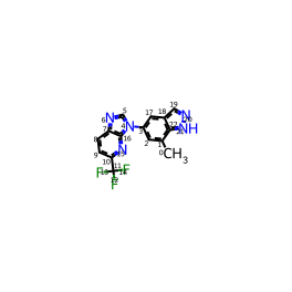 Cc1cc(-n2cnc3ccc(C(F)(F)F)nc32)cc2cn[nH]c12